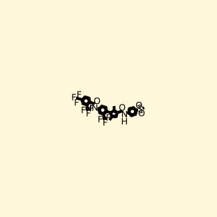 CC1=CC(C(=O)Nc2ccc(S(C)(=O)=O)cc2)=C(C)C1c1ccc(NC(=O)c2ccc(C(F)(F)F)cc2C(F)(F)F)cc1C(F)(F)F